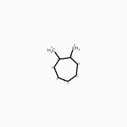 CC1[CH]CCCCC1C